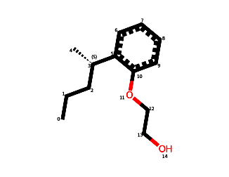 CCC[C@H](C)c1ccccc1OCCO